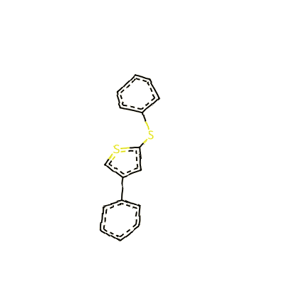 c1ccc(Sc2cc(-c3ccccc3)cs2)cc1